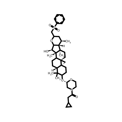 C[C@@H]1CC(CS(=O)(=O)c2ccccc2)OC2[C@H]1[C@@]1(C)CC[C@@]34C[C@@]35CCC(O[C@H]3CN(C(=O)CC6CC6)CCO3)C(C)(C)[C@@H]5CCC4[C@]1(C)[C@H]2O